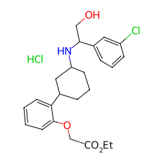 CCOC(=O)COc1ccccc1C1CCCC(NC(CO)c2cccc(Cl)c2)C1.Cl